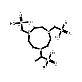 CC(N1CCN(CP(=O)(O)O)CCN(CP(=O)(O)O)CC1)P(=O)(O)O